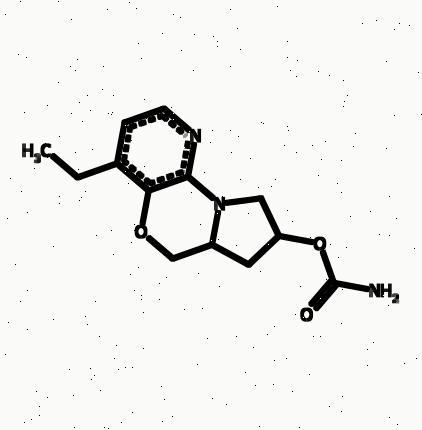 CCc1ccnc2c1OCC1CC(OC(N)=O)CN21